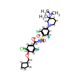 CN(C)C1(C)CCCN(c2cc(F)c(S(=O)(=O)NC(=O)c3cc(Cl)c(OCC4CCCC4)cc3F)c(F)c2)C1